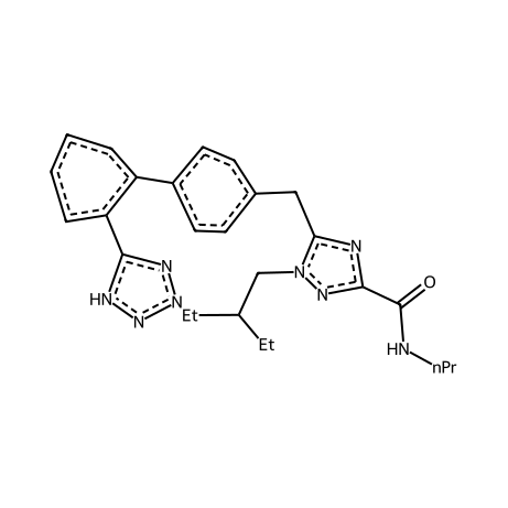 CCCNC(=O)c1nc(Cc2ccc(-c3ccccc3-c3nnn[nH]3)cc2)n(CC(CC)CC)n1